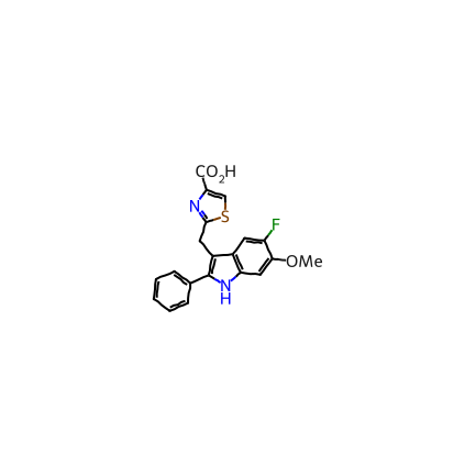 COc1cc2[nH]c(-c3ccccc3)c(Cc3nc(C(=O)O)cs3)c2cc1F